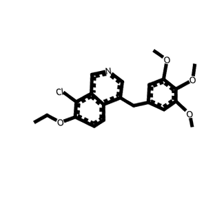 CCOc1ccc2c(Cc3cc(OC)c(OC)c(OC)c3)cncc2c1Cl